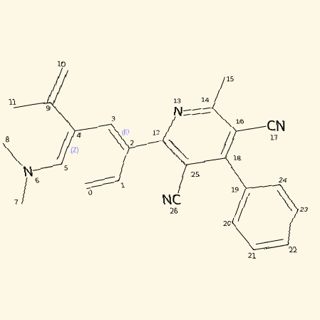 C=C/C(=C\C(=C\N(C)C)C(=C)C)c1nc(C)c(C#N)c(-c2ccccc2)c1C#N